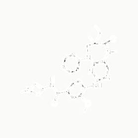 CCC1(C)CN(c2ccccc2)c2nc(Nc3ccc(C(=O)NC4CN(C)C4)cc3OC)ncc2N(C)C1=O